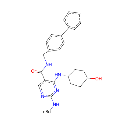 CCCCNc1ncc(C(=O)NCc2ccc(-c3ccccc3)cc2)c(N[C@H]2CC[C@H](O)CC2)n1